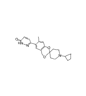 Cc1cc2c(cc1-c1ccc(=O)[nH]n1)COC1(CCN(C3CCC3)CC1)O2